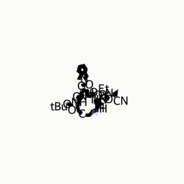 CCN(C1CC1C#N)S(=O)(=O)NC(=O)[C@@]12C[C@H]1/C=C/CCCCC[C@H](NC(=O)OC(C)(C)C)C(=O)N1C[C@H](OC(=O)N3Cc4ccccc4C3)C[C@H]1C(=O)N2